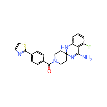 NC1=NC2(CCN(C(=O)c3ccc(-c4nccs4)cc3)CC2)Nc2cccc(F)c21